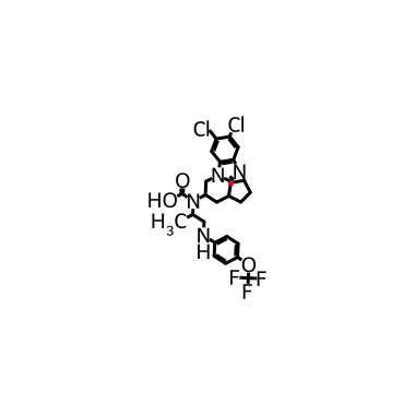 CC(CNc1ccc(OC(F)(F)F)cc1)N(C(=O)O)C(CC1CCCC1)Cn1cnc2cc(Cl)c(Cl)cc21